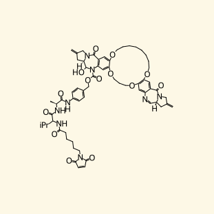 C=C1C[C@@H]2C(O)N(C(=O)OCc3ccc(NC(=O)[C@H](C)NC(=O)C(NC(=O)CCCCCN4C(=O)C=CC4=O)C(C)C)cc3)c3cc4c(cc3C(=O)N2C1)OCCCCCCCCOc1cc2c(cc1OCCCO4)N=C[C@H]1CC(=C)CN1C2=O